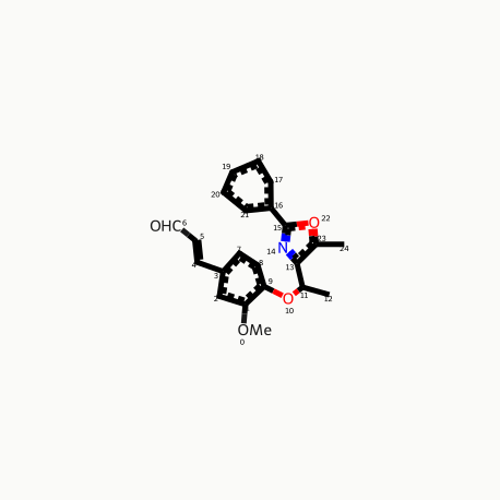 COc1cc(C=CC=O)ccc1OC(C)c1nc(-c2ccccc2)oc1C